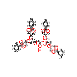 OC(COC(COC1COC(c2ccccc2)OC1)COC1COC(c2ccccc2)OC1)COC(COC1COC(c2ccccc2)OC1)COC1COC(c2ccccc2)OC1